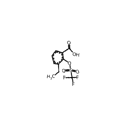 CCc1cccc(C(=O)O)c1OS(=O)(=O)C(F)(F)F